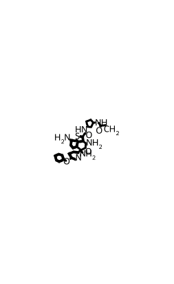 C=CC(=O)NC1CCC(NC(=O)c2sc3c(N)ccc4c3c2C(N)C(=O)C4(N)c2ccc(Oc3ccccc3)cn2)C1